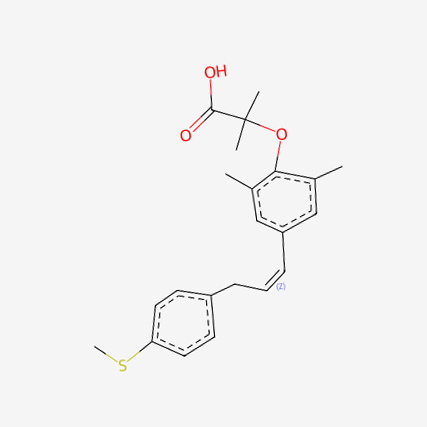 CSc1ccc(C/C=C\c2cc(C)c(OC(C)(C)C(=O)O)c(C)c2)cc1